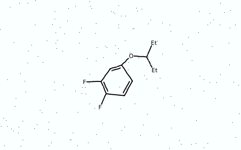 CCC(CC)Oc1ccc(F)c(F)c1